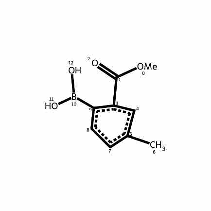 COC(=O)c1cc(C)ccc1B(O)O